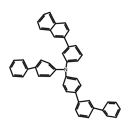 c1ccc(-c2ccc(N(c3ccc(-c4cccc(-c5ccccc5)c4)cc3)c3cccc(-c4ccc5ccccc5c4)c3)cc2)cc1